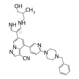 CC(CO)CN/C=C(\C=N)c1cc(-c2ccc(N3CCN(Cc4ccccc4)CC3)nc2)c2c(C#N)cnn2c1